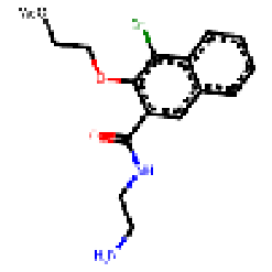 COCCOc1c(C(=O)NCCN)cc2ccccc2c1Br